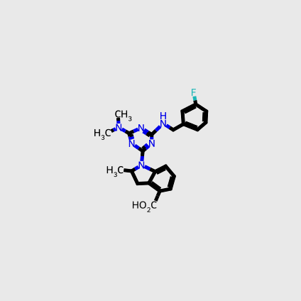 CC1Cc2c(C(=O)O)cccc2N1c1nc(NCc2cccc(F)c2)nc(N(C)C)n1